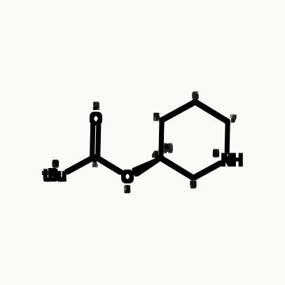 CC(C)(C)C(=O)O[C@H]1CCCNC1